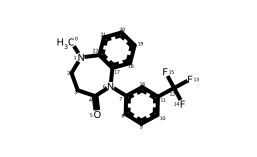 CN1CCC(=O)N(c2cccc(C(F)(F)F)c2)c2ccccc21